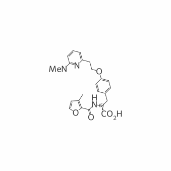 CNc1cccc(CCOc2ccc(C[C@H](NC(=O)c3occc3C)C(=O)O)cc2)n1